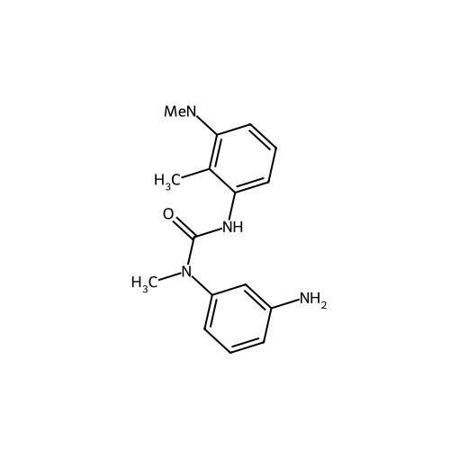 CNc1cccc(NC(=O)N(C)c2cccc(N)c2)c1C